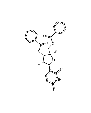 O=C(OC[C@@]1(F)O[C@@H](n2ccc(=O)[nH]c2=O)[C@H](F)[C@@H]1OC(=O)c1ccccc1)c1ccccc1